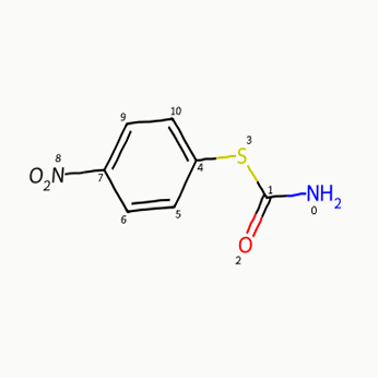 NC(=O)Sc1ccc([N+](=O)[O-])cc1